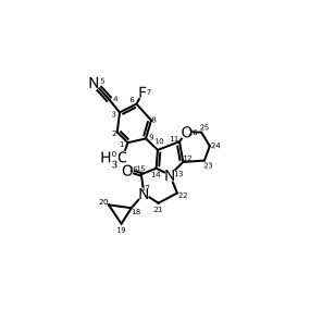 Cc1cc(C#N)c(F)cc1-c1c2c(n3c1C(=O)N(C1CC1)CC3)CCCO2